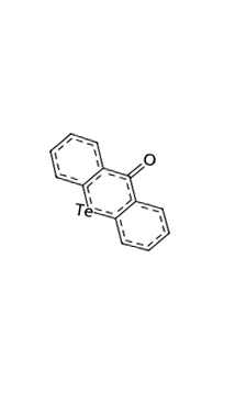 O=c1c2ccccc2[te]c2ccccc12